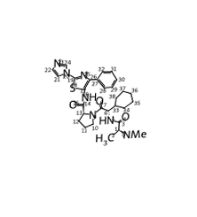 CN[C@@H](C)C(=O)N[C@H](C(=O)N1CCC[C@H]1C(=O)Nc1sc(-n2ccnc2)nc1-c1ccccc1)C1CCCCC1